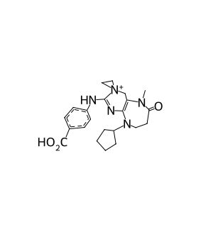 CN1C(=O)CCN(C2CCCC2)C2=C1C[N+]1(CC1)C(Nc1ccc(C(=O)O)cc1)=N2